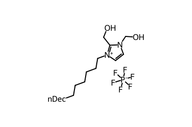 CCCCCCCCCCCCCCCC[n+]1ccn(CO)c1CO.F[P-](F)(F)(F)(F)F